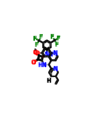 C=CC1CN2CC[C@H]1CC2[C@H](Nc1c(Nc2cc(C(F)(F)F)cc(C(F)(F)F)c2)c(=O)c1=O)c1ccnc2ccc(OC)cc12